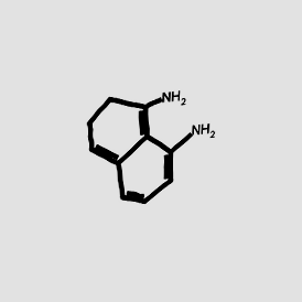 NC1=c2c(N)cccc2=CCC1